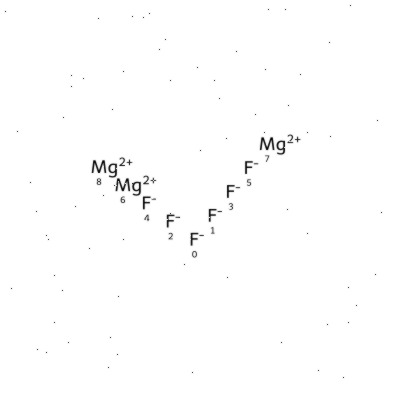 [F-].[F-].[F-].[F-].[F-].[F-].[Mg+2].[Mg+2].[Mg+2]